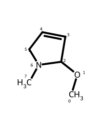 COC1C=C[CH]N1C